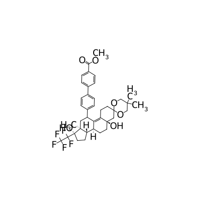 COC(=O)c1ccc(-c2ccc(C3C[C@@]4(C)[C@@H](CC[C@@]4(O)C(F)(F)C(F)(F)F)[C@@H]4CC[C@@]5(O)CC6(CCC5=C34)OCC(C)(C)CO6)cc2)cc1